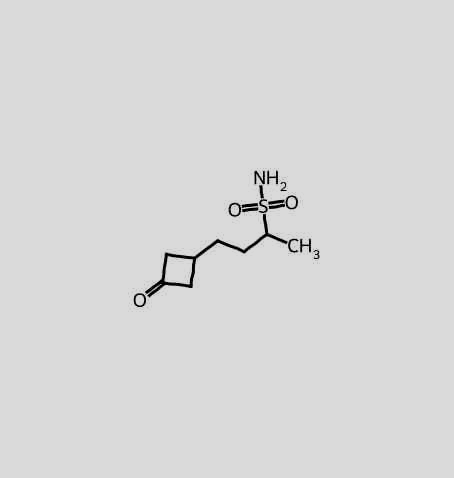 CC(CCC1CC(=O)C1)S(N)(=O)=O